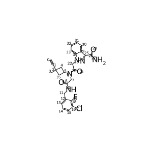 C#CC1(C)CC(N(CC(=O)NCc2cccc(Cl)c2F)C(=O)Cn2nc(C(N)=O)c3ccccc32)C1